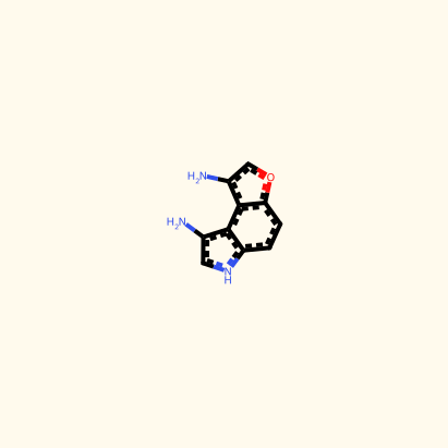 Nc1c[nH]c2ccc3occ(N)c3c12